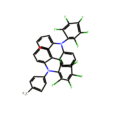 Fc1c(F)c(F)c(N(c2ccccc2)c2ccccc2-c2ccccc2N(c2ccc(C(F)(F)F)cc2)c2c(F)c(F)c(F)c(F)c2F)c(F)c1F